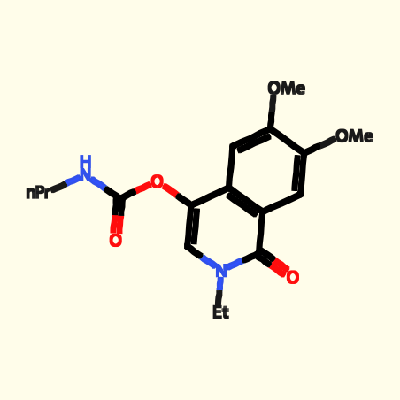 CCCNC(=O)Oc1cn(CC)c(=O)c2cc(OC)c(OC)cc12